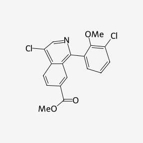 COC(=O)c1ccc2c(Cl)cnc(-c3cccc(Cl)c3OC)c2c1